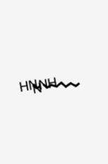 CCCCCCCCNN=N